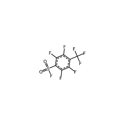 O=S(=O)(F)c1c(F)c(F)c(C(F)(F)F)c(F)c1F